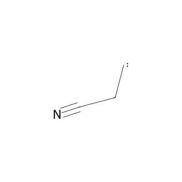 [CH]CC#N